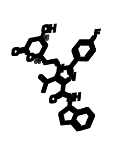 CC(C)c1c(C(=O)NC2CCc3ccccc32)nc(-c2ccc(F)cc2)n1CC[C@@H]1C[C@@H](O)CC(=O)O1